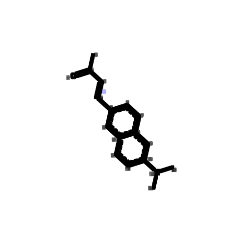 CC(=O)/C=C/c1ccc2cc(N(C)C)ccc2c1